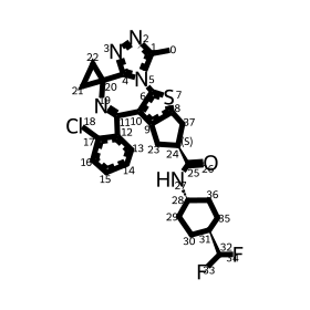 Cc1nnc2n1-c1sc3c(c1C(c1ccccc1Cl)=NC21CC1)C[C@H](C(=O)N[C@H]1CC[C@H](C(F)F)CC1)C3